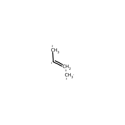 C=CC.[CH3]